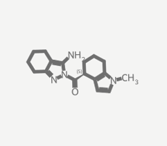 Cn1ccc2c1CCC[C@@H]2C(=O)n1nc2c(c1N)CCCC2